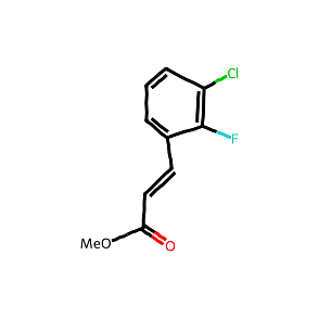 COC(=O)C=Cc1cccc(Cl)c1F